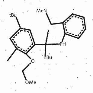 CCCCC(C)(Pc1ccccc1CNC)c1cc(C(C)(C)C)cc(C)c1OCOC